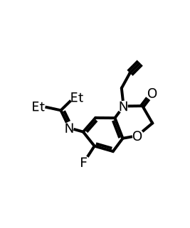 C#CCN1C(=O)COc2cc(F)c(N=C(CC)CC)cc21